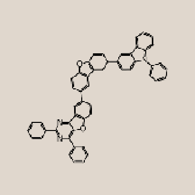 C1=CC(c2ccc3c(c2)c2ccccc2n3-c2ccccc2)Cc2c1oc1ccc(-c3ccc4oc5c(-c6ccccc6)nc(-c6ccccc6)nc5c4c3)cc21